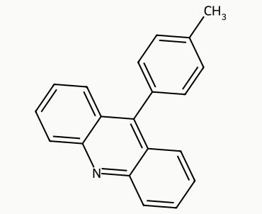 Cc1ccc(-c2c3ccccc3nc3ccccc23)cc1